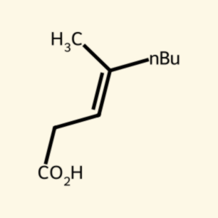 CCCCC(C)=CCC(=O)O